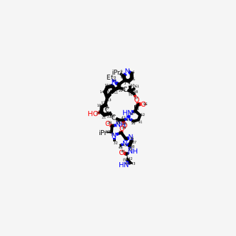 CCn1c(-c2cccnc2C(C)C)c2c3cc(ccc31)-c1cc(O)cc(c1)C[C@H](NC(=O)[C@H](C(C)C)N(C)C(=O)c1ncc(NC(=O)[C@@H]3CN3)n1C)C(=O)N1CCC[C@H](N1)C(=O)OCC(C)(C)C2